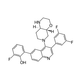 Oc1c(F)cccc1-c1ccc2ncc(-c3cc(F)cc(F)c3)c(N3CC[C@H]4NCCO[C@@H]4C3)c2c1